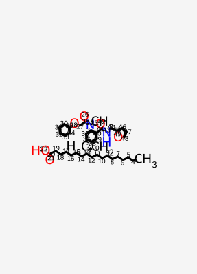 C=CC.CCCCCCCCCCCCCCCCCC(=O)O.CN(C(=O)COc1ccccc1)c1ccccc1C(=O)NCc1ccco1